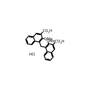 COc1c(C(=O)O)cc2ccccc2c1Cc1c(OC)c(C(=O)O)cc2ccccc12.Cl